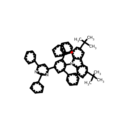 CC(C)(C)c1ccc2c(c1)c1cc(C(C)(C)C)cc(-c3ccccc3)c1n2-c1c(-c2ccccc2)cc(-c2cc(-c3ccccc3)nc(-c3ccccc3)n2)cc1-c1ccccc1